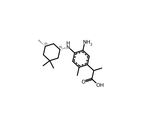 Cc1cc(N[C@H]2C[C@@H](C)CC(C)(C)C2)c(N)cc1C(C)C(=O)O